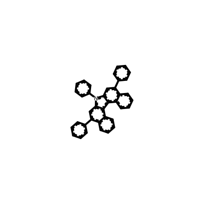 c1ccc(-c2cc3c(c4ccccc24)c2c4ccccc4c(-c4ccccc4)cc2n3-c2ccccc2)cc1